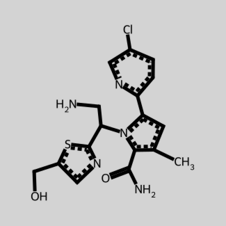 Cc1cc(-c2ccc(Cl)cn2)n(C(CN)c2ncc(CO)s2)c1C(N)=O